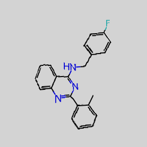 Cc1ccccc1-c1nc(NCc2ccc(F)cc2)c2ccccc2n1